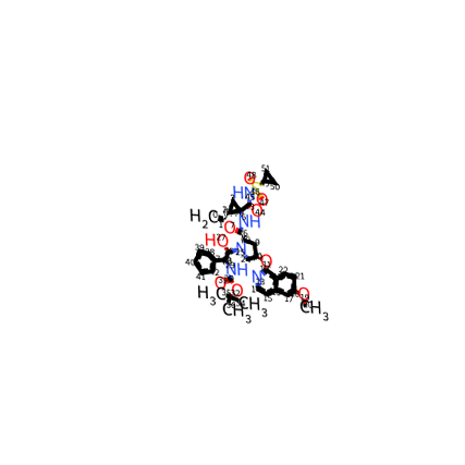 C=C[C@@H]1C[C@]1(NC(=O)[C@@H]1C[C@@H](Oc2nccc3cc(OC)ccc23)CN1C(O)[C@@H](NC(=O)OC(C)(C)C)c1ccccc1)C(=O)NS(=O)(=O)C1CC1